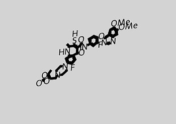 COc1cc2ncnc(Oc3ccc(NC(=O)C4=C(S)C(C)Nc5cc(N6CCN(Cc7oc(=O)oc7C)CC6)c(F)cc5C4=O)cc3F)c2cc1OC